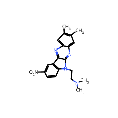 Cc1cc2nc3c4cc([N+](=O)[O-])ccc4n(CCN(C)C)c3nc2cc1C